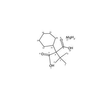 CC(C)(C)C(C(=O)O)(C(=O)O)C1CCCCC1.[MgH2]